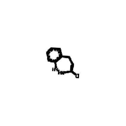 ClC1=CCc2ccccc2NN1